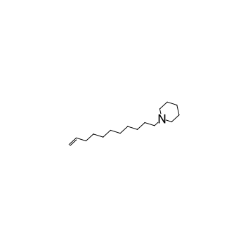 C=CCCCCCCCCCN1CCCCC1